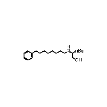 CCCCC(CO)NCCCCCCCCc1ccccc1